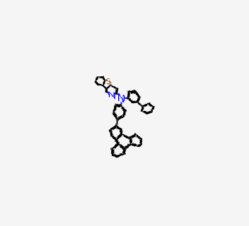 c1ccc(-c2cccc(N(c3ccc(-c4ccc5c6ccccc6c6ccccc6c5c4)cc3)c3cc4sc5ccccc5c4cn3)c2)cc1